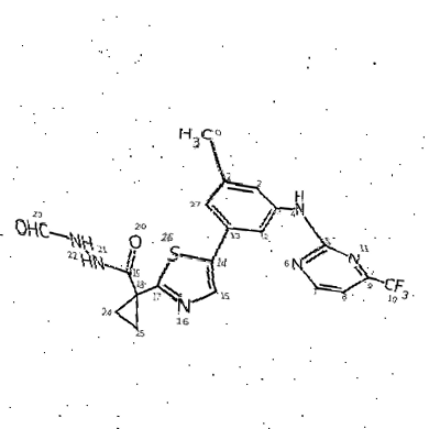 Cc1cc(Nc2nccc(C(F)(F)F)n2)cc(-c2cnc(C3(C(=O)NNC=O)CC3)s2)c1